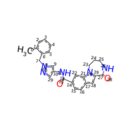 Cc1ccccc1Cn1cc(NC(=O)c2ccc3cc4n(c3c2)CCCNC4=O)cn1